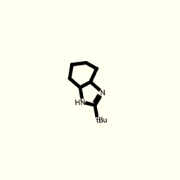 CC(C)(C)C1=NC2CCCCC2N1